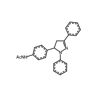 CC(=O)Nc1ccc(C2CC(c3ccccc3)=NN2c2ccccc2)cc1